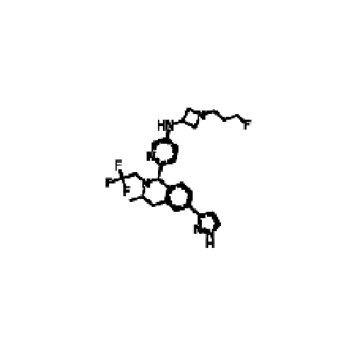 C[C@@H]1Cc2cc(-c3cc[nH]n3)ccc2[C@H](c2ccc(NC3CN(CCCF)C3)cn2)N1CC(F)(F)F